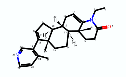 CCN1C(=O)CC[C@@]2(C)C1=CC[C@@H]1[C@@H]2CC[C@]2(C)C(c3cnccc3C)=CC[C@@H]12